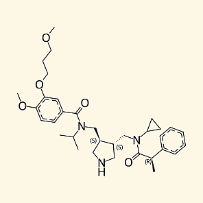 COCCCOc1cc(C(=O)N(C[C@@H]2CNC[C@H]2CN(C(=O)[C@H](C)c2ccccc2)C2CC2)C(C)C)ccc1OC